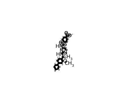 COc1cc(-c2ccccc2)ccc1C(C)Nc1nccc(NS(=O)(=O)c2ccc([N+](=O)[O-])cc2)n1